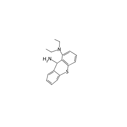 CCN(CC)c1cccc2c1C(N)c1ccccc1S2